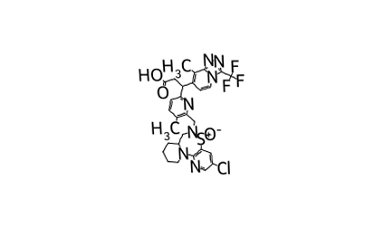 Cc1ccc(C(CC(=O)O)c2ccn3c(C(F)(F)F)nnc3c2C)nc1CN1CC2CCCCN2c2ncc(Cl)cc2[S+]1[O-]